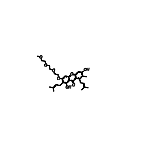 COCCOCCOCCOc1cc2oc3cc(O)c(C)c(CC=C(C)C)c3c(=O)c2c(O)c1CC=C(C)C